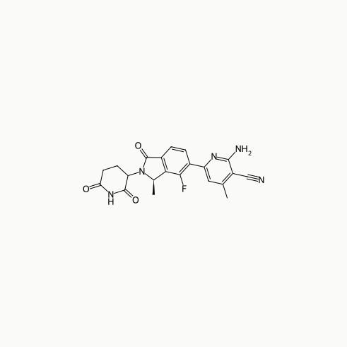 Cc1cc(-c2ccc3c(c2F)[C@@H](C)N(C2CCC(=O)NC2=O)C3=O)nc(N)c1C#N